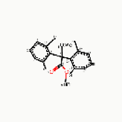 CCCOC(=O)C(OC)(c1c(C)cccc1C)c1c(C)cccc1C